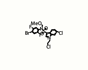 COCN(c1cc(F)c(Br)cc1F)S(=O)(=O)c1cn(CCCl)c2cc(Cl)ccc12